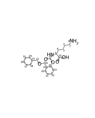 NCCCCC(NC(=O)OC(OCc1ccccc1)c1ccccc1)C(=O)O